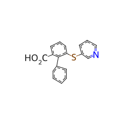 O=C(O)c1cccc(Sc2cccnc2)c1-c1ccccc1